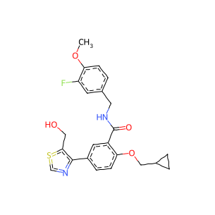 COc1ccc(CNC(=O)c2cc(-c3ncsc3CO)ccc2OCC2CC2)cc1F